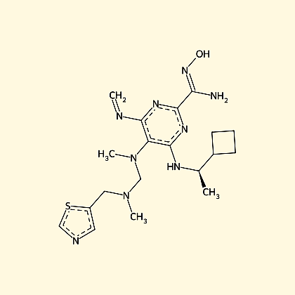 C=Nc1nc(/C(N)=N/O)nc(N[C@H](C)C2CCC2)c1N(C)CN(C)Cc1cncs1